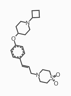 O=S1(=O)CCN(CC=Cc2ccc(OC3CCN(C4CCC4)CC3)cc2)CC1